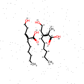 CCCCCCC(=CCCO)C(=O)O.CCCCCCC(CCO)=C(C)C(=O)O